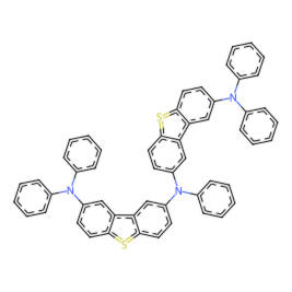 c1ccc(N(c2ccccc2)c2ccc3sc4ccc(N(c5ccccc5)c5ccc6sc7ccc(N(c8ccccc8)c8ccccc8)cc7c6c5)cc4c3c2)cc1